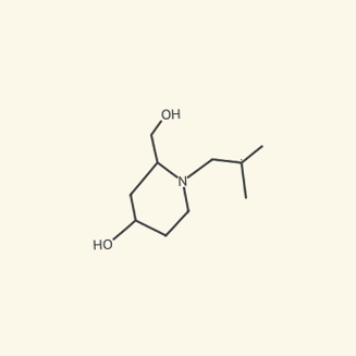 C[C](C)CN1CCC(O)CC1CO